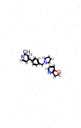 Cc1cc(-c2ccc(CN3CCC[C@@H]3c3cnc4c(c3)OCC4)cc2)ccn1